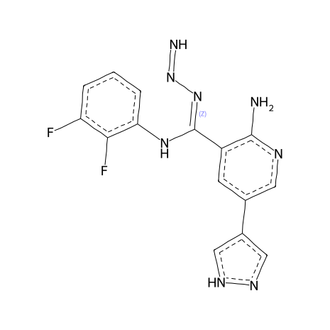 N=N/N=C(\Nc1cccc(F)c1F)c1cc(-c2cn[nH]c2)cnc1N